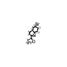 CC(C)CC(=O)c1ccc2cc(Br)ccc2n1